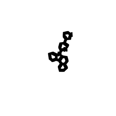 c1cncc(-c2ccc(-n3c4ccccc4c4c5ccccc5ccc43)nc2)c1